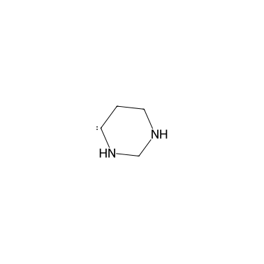 [C]1CCNCN1